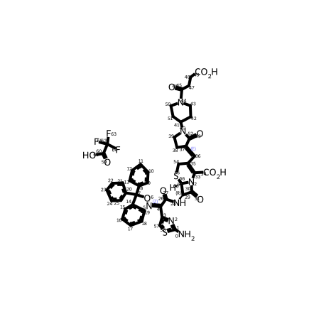 Nc1nc(/C(=N/OC(c2ccccc2)(c2ccccc2)c2ccccc2)C(=O)N[C@@H]2C(=O)N3C(C(=O)O)=C(/C=C4\CCN(C5CCN(C(=O)CCC(=O)O)CC5)C4=O)CS[C@H]23)cs1.O=C(O)C(F)(F)F